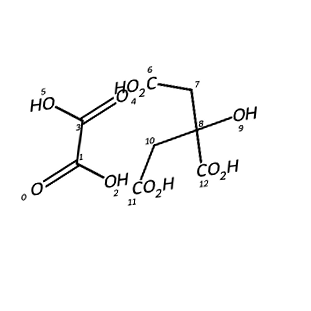 O=C(O)C(=O)O.O=C(O)CC(O)(CC(=O)O)C(=O)O